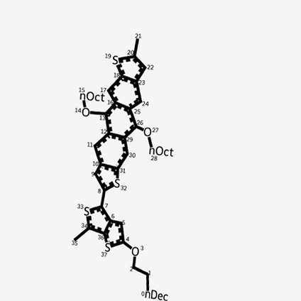 CCCCCCCCCCCCOc1cc2c(-c3cc4cc5c(OCCCCCCCC)c6cc7sc(C)cc7cc6c(OCCCCCCCC)c5cc4s3)sc(C)c2s1